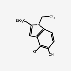 CCOC(=O)c1cc2c(Cl)c(O)ccc2n1CC(F)(F)F